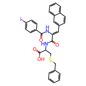 O=C(NC(CSCc1ccccc1)C(=O)O)C(=Cc1ccc2ccccc2c1)NC(=O)c1ccc(I)cc1